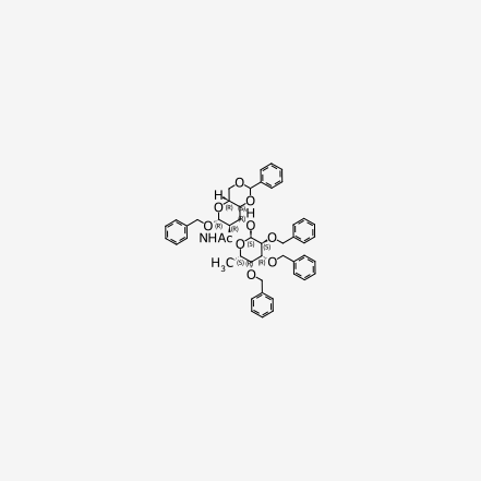 CC(=O)N[C@H]1[C@H](OCc2ccccc2)O[C@@H]2COC(c3ccccc3)O[C@H]2[C@@H]1O[C@@H]1O[C@@H](C)[C@@H](OCc2ccccc2)[C@@H](OCc2ccccc2)[C@@H]1OCc1ccccc1